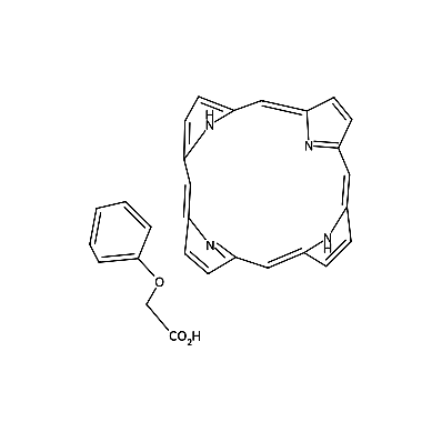 C1=Cc2cc3ccc(cc4nc(cc5ccc(cc1n2)[nH]5)C=C4)[nH]3.O=C(O)COc1ccccc1